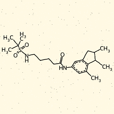 Cc1cc(NC(=O)CCCCNS(=O)(=O)C(C)(C)C)cc2c1C(C)C(C)C2